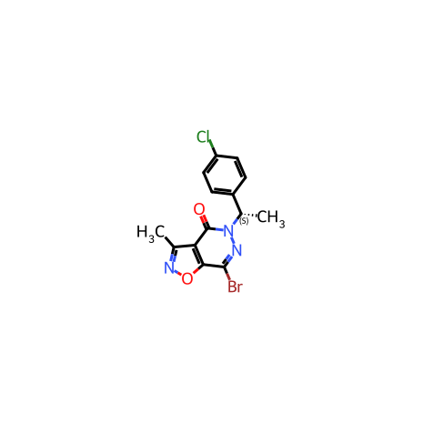 Cc1noc2c(Br)nn([C@@H](C)c3ccc(Cl)cc3)c(=O)c12